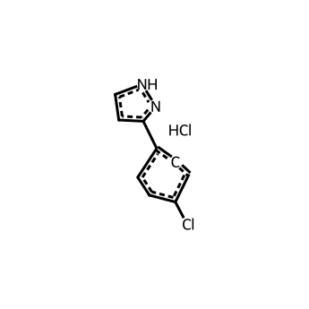 Cl.Clc1ccc(-c2cc[nH]n2)cc1